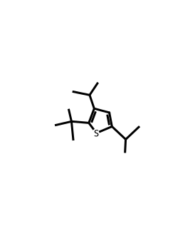 CC(C)c1cc(C(C)C)c(C(C)(C)C)s1